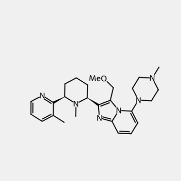 COCc1c([C@@H]2CCC[C@H](c3ncccc3C)N2C)nc2cccc(N3CCN(C)CC3)n12